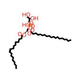 CCCCCCCC/C=C\CCCCCCCC(=O)OC[C@H](COP(=O)(O)OC[C@@H](O)CO)OC(=O)CCCCCCCCCCCCCCCCCC